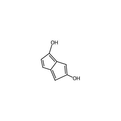 OC1=CC2=C(O)C=CC2=C1